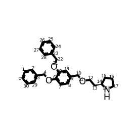 c1ccc(COc2ccc(COCC[C@H]3CCCN3)cc2OCc2ccccc2)cc1